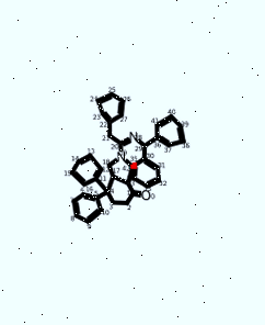 O=C1CCC(c2ccccc2)(c2ccccc2)C2CN(C(Cc3ccccc3)=NC(c3ccccc3)c3ccccc3)CC12